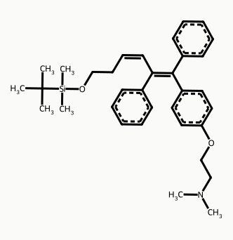 CN(C)CCOc1ccc(C(=C(/C=C\CCO[Si](C)(C)C(C)(C)C)c2ccccc2)c2ccccc2)cc1